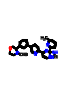 CCNC1(c2cccc(C)n2)N=C(c2ccc(-c3cccc(C4COCCN4C=O)c3)cn2)C=CN1